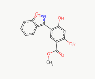 COC(=O)c1cc(-c2noc3ccccc23)c(O)cc1O